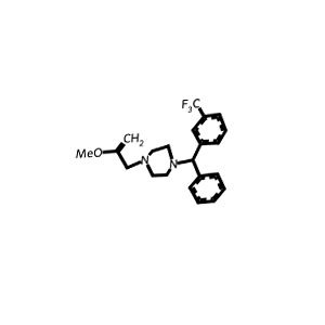 C=C(CN1CCN(C(c2ccccc2)c2cccc(C(F)(F)F)c2)CC1)OC